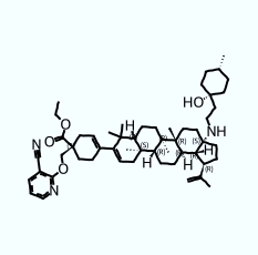 C=C(C)[C@@H]1CC[C@]2(NCC[C@]3(O)CC[C@@H](C)CC3)CC[C@]3(C)[C@H](CC[C@@H]4[C@@]5(C)CC=C(C6=CC[C@@](COc7ncccc7C#N)(C(=O)OCC)CC6)C(C)(C)[C@@H]5CC[C@]43C)[C@@H]12